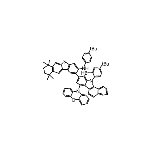 CC(C)(C)c1ccc(Nc2cc3sc4cc5c(cc4c3cc2-c2cc(N3c4ccccc4Oc4ccccc43)c3c4ccc6ccccc6c4n4c3c2Bc2cc(C(C)(C)C)ccc2-4)C(C)(C)CCC5(C)C)cc1